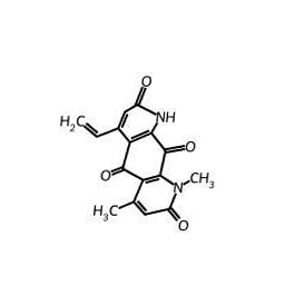 C=Cc1cc(=O)[nH]c2c1C(=O)c1c(C)cc(=O)n(C)c1C2=O